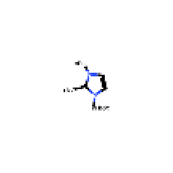 CCCCCCCN1C=CN(CCCC)C1CCCC